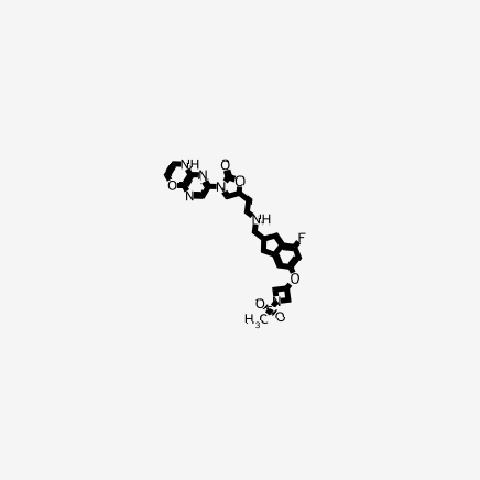 CS(=O)(=O)N1CC(Oc2cc(F)c3c(c2)CC(CNCCC2CN(c4cnc5c(n4)NC=CO5)C(=O)O2)C3)C1